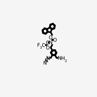 [N-]=[N+]=NCc1cc(CCN(OC(=O)C(F)(F)F)C(=O)OCC2c3ccccc3-c3ccccc32)ccc1CN